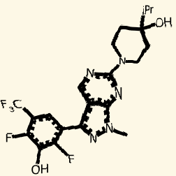 CC(C)C1(O)CCN(c2ncc3c(-c4cc(C(F)(F)F)c(F)c(O)c4F)nn(C)c3n2)CC1